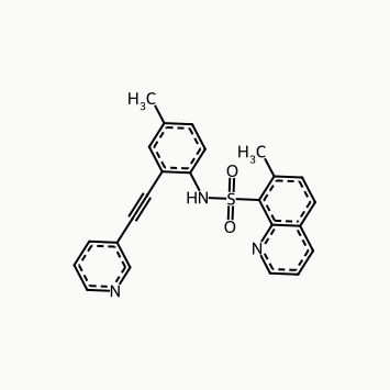 Cc1ccc(NS(=O)(=O)c2c(C)ccc3cccnc23)c(C#Cc2cccnc2)c1